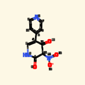 O=C1NC=C(c2ccncc2)C(=O)C1[N+](=O)[O-]